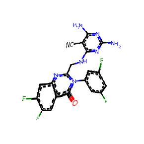 N#Cc1c(N)nc(N)nc1NCc1nc2cc(F)c(F)cc2c(=O)n1-c1cc(F)cc(F)c1